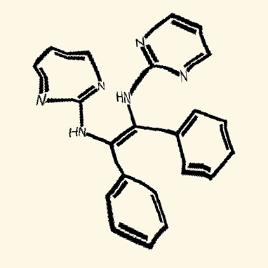 c1ccc(C(Nc2ncccn2)=C(Nc2ncccn2)c2ccccc2)cc1